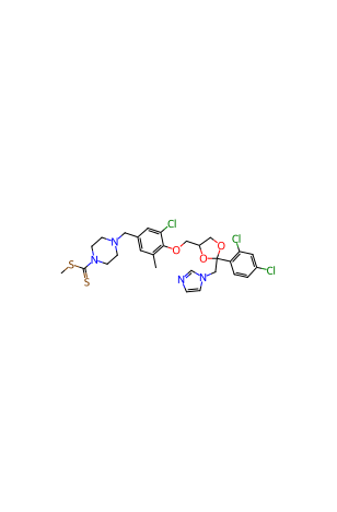 CSC(=S)N1CCN(Cc2cc(C)c(OCC3COC(Cn4ccnc4)(c4ccc(Cl)cc4Cl)O3)c(Cl)c2)CC1